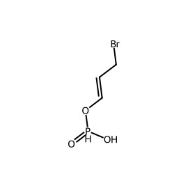 O=[PH](O)OC=CCBr